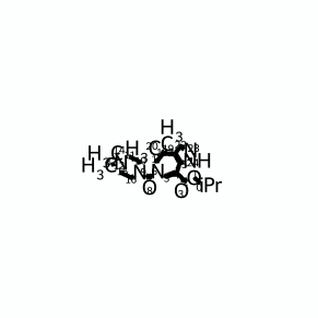 CC(C)OC(=O)C1=CN(C(=O)N2CC[N+](C)(C)CC2)CC(C)(C)c2cn[nH]c21